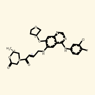 C[C@@H]1CN(C(=O)/C=C/CNc2cc3c(Nc4ccc(F)c(Cl)c4)ncnc3cc2O[C@H]2CCOC2)CC(=O)O1